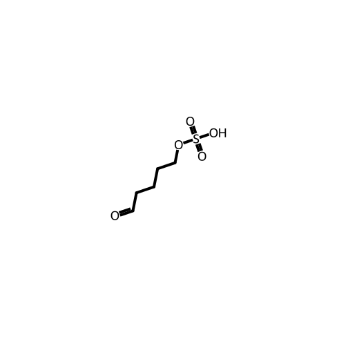 O=CCCCCOS(=O)(=O)O